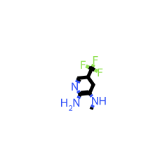 CNC1=C(N)N=CC(C(F)(F)F)C1